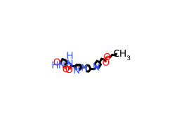 CCCCOC(=O)CC1CCN(CC2CCN(c3ccc(C(=O)NC4CCC(=O)NC4=O)nc3)CC2)CC1